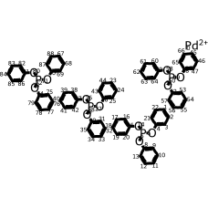 [Pd+2].c1ccc(OP(Oc2ccccc2)Oc2ccccc2)cc1.c1ccc(OP(Oc2ccccc2)Oc2ccccc2)cc1.c1ccc(OP(Oc2ccccc2)Oc2ccccc2)cc1.c1ccc(OP(Oc2ccccc2)Oc2ccccc2)cc1